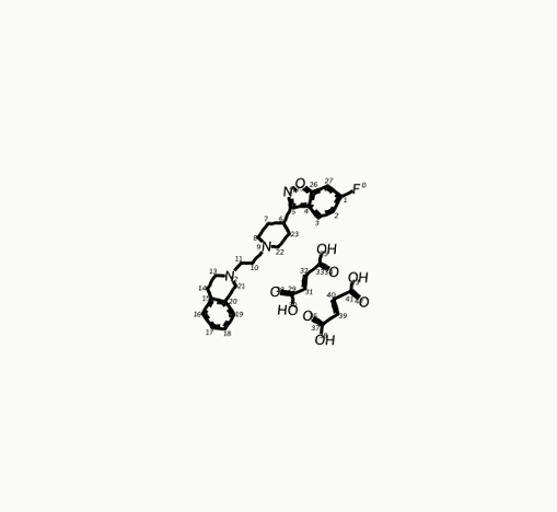 Fc1ccc2c(C3CCN(CCN4CCc5ccccc5C4)CC3)noc2c1.O=C(O)C=CC(=O)O.O=C(O)C=CC(=O)O